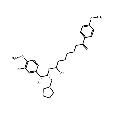 COc1ccc(C(=O)CCCCCC(O)N[C@H](CN2CCCC2)[C@H](O)c2ccc(OC)c(F)c2)cc1